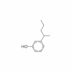 CCCC(C)c1cccc(O)c1